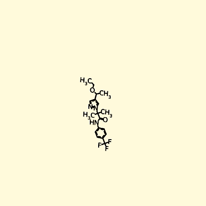 CCOC(C)c1cnn(C(C)(C)C(=O)Nc2ccc(C(F)(F)F)cc2)c1